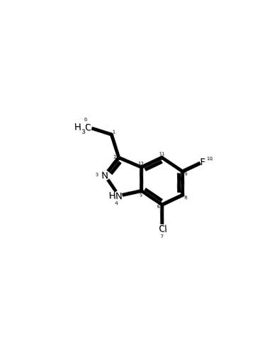 CCc1n[nH]c2c(Cl)cc(F)cc12